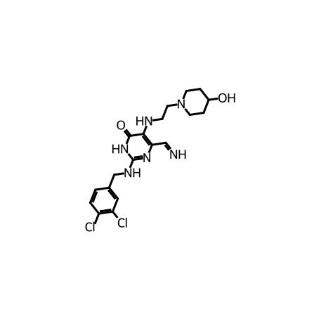 N=Cc1nc(NCc2ccc(Cl)c(Cl)c2)[nH]c(=O)c1NCCN1CCC(O)CC1